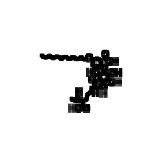 CCCCCCCCCCCCO[C@H]1C[C@@H](O)[C@H](O[C@@H]2C[C@H](C(=O)NCCCC[C@H](NCC)C(=O)O)[C@@H](O)[C@H](O)[C@H]2O)[C@@H](C(=O)O)C1